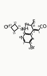 CCOC(=O)C=C(c1cc(Br)cnc1N[C@H]1C[C@@H](O)C1)C(F)F